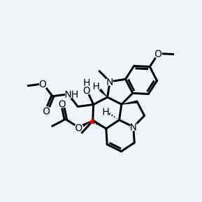 CC[C@]12C=CCN3CC[C@@]4(c5ccc(OC)cc5N(C)[C@H]4C(O)(CNC(=O)OC)[C@@H]1OC(C)=O)[C@@H]32